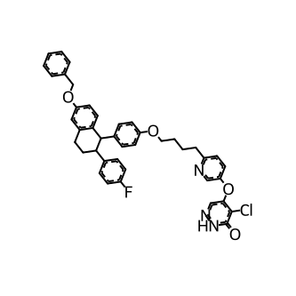 O=c1[nH]ncc(Oc2ccc(CCCCOc3ccc(C4c5ccc(OCc6ccccc6)cc5CCC4c4ccc(F)cc4)cc3)nc2)c1Cl